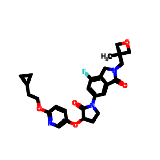 CC1(CN2Cc3c(F)cc(N4CC[C@@H](Oc5ccc(OCCC6CC6)nc5)C4=O)cc3C2=O)COC1